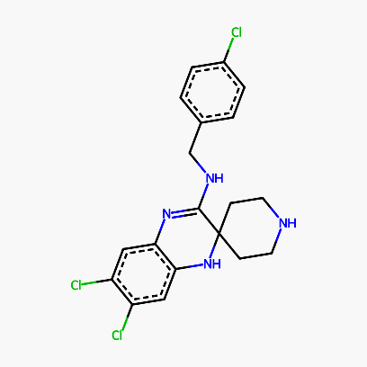 Clc1ccc(CNC2=Nc3cc(Cl)c(Cl)cc3NC23CCNCC3)cc1